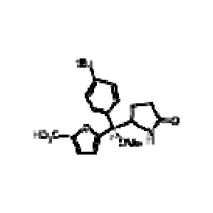 CO[C@@](c1ccc(C(C)(C)C)cc1)(c1ccc(C(=O)O)o1)C1CCC(=O)N1